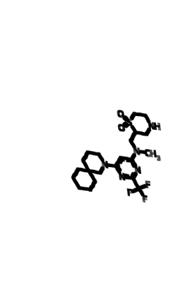 CN(CC1CNCCS1(=O)=O)c1cc(N2CCCC3(CCCCC3)C2)nc(C(F)(F)F)n1